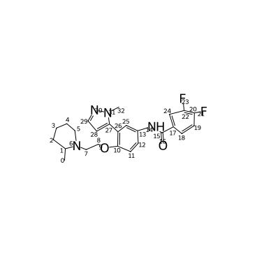 CC1CCCCN1CCOc1ccc(NC(=O)c2ccc(F)c(F)c2)cc1-c1ccnn1C